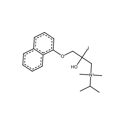 CC(C)[N+](C)(C)CC(O)(I)COc1cccc2ccccc12